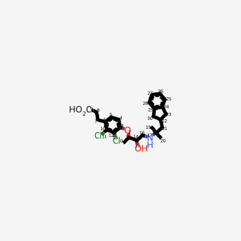 CC(Oc1ccc(CCC(=O)O)c(Cl)c1Cl)C(O)CNC(C)(C)CC1Cc2ccccc2C1